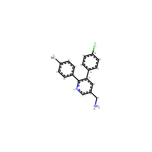 N#Cc1ccc(-c2ncc(CN)cc2-c2ccc(Cl)cc2)cc1